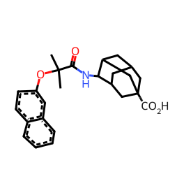 CC(C)(Oc1ccc2ccccc2c1)C(=O)NC1C2CC3CC1CC(C(=O)O)(C3)C2